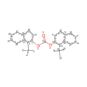 CC(C)(C)c1c(OC(=O)Oc2ccc3ccccc3c2C(C)(C)C)ccc2ccccc12